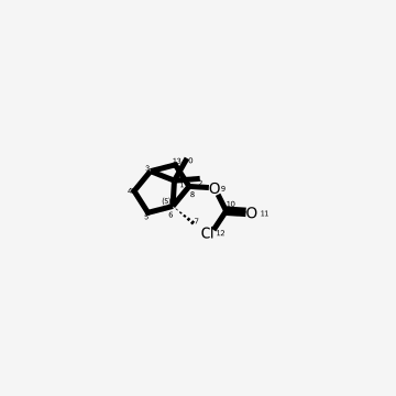 CC1(C)C2CC[C@]1(C)C(OC(=O)Cl)C2